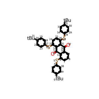 CC(C)(C)c1ccc(Sc2cccc3c2C(=O)c2c(Sc4ccc(C(C)(C)C)cc4)ccc(Sc4ccc(C(C)(C)C)cc4)c2C3=O)cc1